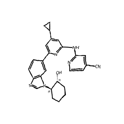 N#Cc1ccnc(Nc2cc(C3CC3)cc(-c3ccc4ncn([C@@H]5CCCC[C@H]5O)c4c3)n2)c1